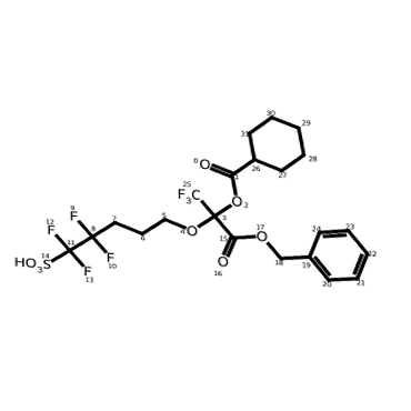 O=C(OC(OCCCC(F)(F)C(F)(F)S(=O)(=O)O)(C(=O)OCc1ccccc1)C(F)(F)F)C1CCCCC1